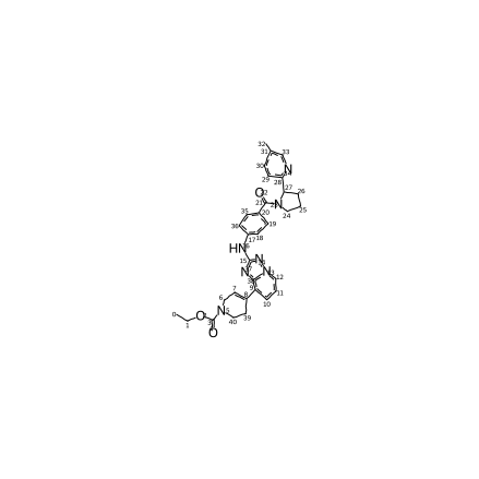 CCOC(=O)N1CC=C(c2cccn3nc(Nc4ccc(C(=O)N5CCCC5c5ccc(C)cn5)cc4)nc23)CC1